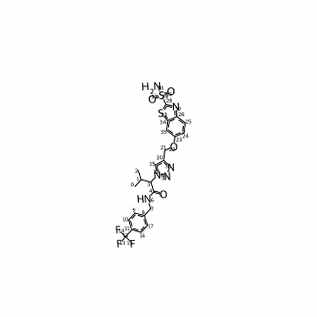 CC(C)C(C(=O)NCc1ccc(C(F)(F)F)cc1)n1cc(COc2ccc3nc(S(N)(=O)=O)sc3c2)nn1